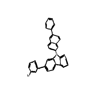 Brc1cccc(-c2ccc3c4ccccc4n(-c4ccc5cc(-c6ccccc6)ccc5c4)c3c2)c1